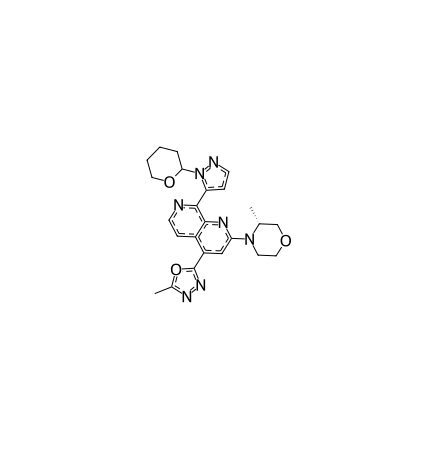 Cc1nnc(-c2cc(N3CCOC[C@H]3C)nc3c(-c4ccnn4C4CCCCO4)nccc23)o1